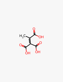 CC(C(=O)O)=C(C(=O)O)C(=O)O